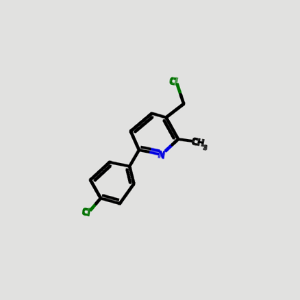 Cc1nc(-c2ccc(Cl)cc2)ccc1CCl